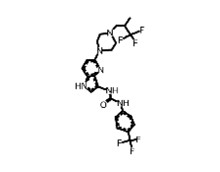 CC(CN1CCN(c2ccc3[nH]cc(NC(=O)Nc4ccc(C(F)(F)F)cc4)c3n2)CC1)C(F)(F)F